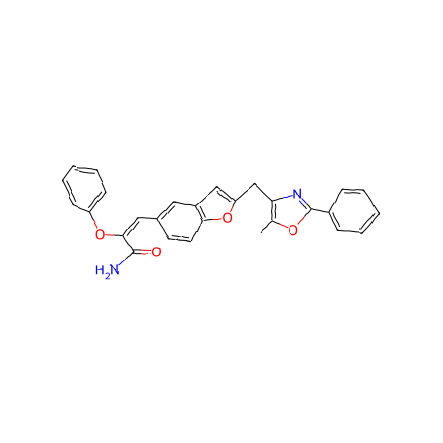 Cc1oc(-c2ccccc2)nc1Cc1cc2cc(/C=C(/Oc3ccccc3)C(N)=O)ccc2o1